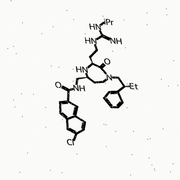 CC[C@H](CN1CC[C@@H](CNC(=O)c2ccc3cc(Cl)ccc3c2)N[C@@H](CCNC(=N)NC(C)C)C1=O)c1ccccc1